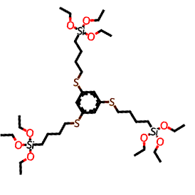 CCO[Si](CCCCSc1cc(SCCCC[Si](OCC)(OCC)OCC)cc(SCCCC[Si](OCC)(OCC)OCC)c1)(OCC)OCC